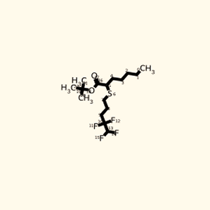 CCCCCC(SCCCC(F)(F)C(F)F)C(=O)OC(C)(C)C